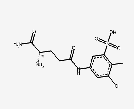 Cc1c(Cl)cc(NC(=O)CC[C@H](N)C(N)=O)cc1S(=O)(=O)O